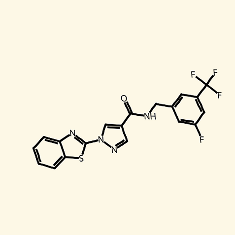 O=C(NCc1cc(F)cc(C(F)(F)F)c1)c1cnn(-c2nc3ccccc3s2)c1